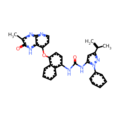 C=C(C)c1cc(NC(=O)Nc2ccc(Oc3ccnc4nc(C)c(=O)[nH]c34)c3ccccc23)n(-c2ccccc2)n1